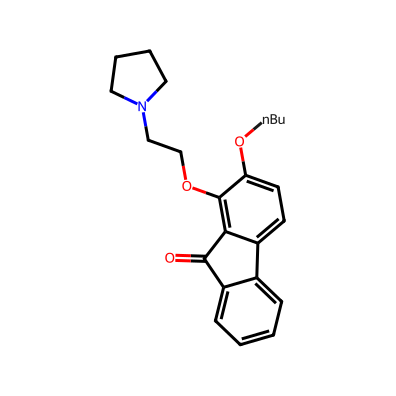 CCCCOc1ccc2c(c1OCCN1CCCC1)C(=O)c1ccccc1-2